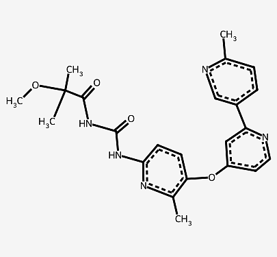 COC(C)(C)C(=O)NC(=O)Nc1ccc(Oc2ccnc(-c3ccc(C)nc3)c2)c(C)n1